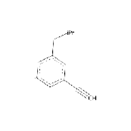 C#Cc1c[c]cc(CC(C)C)c1